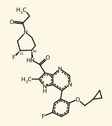 CCC(=O)N1CC[C@@H](NC(=O)c2c(C)[nH]c3c(-c4cc(F)ccc4OCC4CC4)ncnc23)[C@@H](F)C1